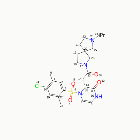 Cc1cc(S(=O)(=O)N2C=CNC(=O)[C@H]2CC(=O)N2CCC3(CCN(C(C)C)C3)C2)c(C)cc1Cl